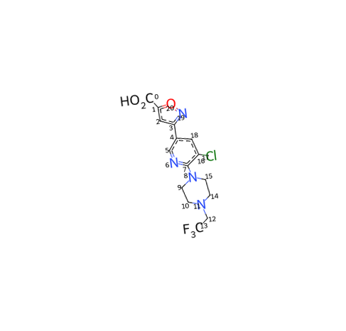 O=C(O)c1cc(-c2cnc(N3CCN(CC(F)(F)F)CC3)c(Cl)c2)no1